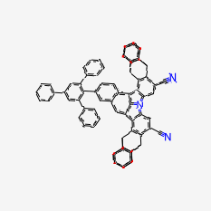 N#Cc1cc2c(c3c1C1c4ccccc4C3c3ccccc31)c1cc3cc(-c4c(-c5ccccc5)cc(-c5ccccc5)cc4-c4ccccc4)ccc3c3c4c5c(c(C#N)cc4n2c13)C1c2ccccc2C5c2ccccc21